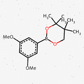 COc1cc(OC)cc(B2OCC(C)(C)C(C)(C)O2)c1